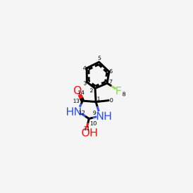 CC1(c2ccccc2F)NC(O)NC1=O